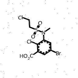 CN(c1cc(Br)cc(C(=O)O)c1Cl)S(=O)(=O)CCCl